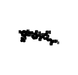 CC(C)(C)Oc1cc(F)cc2nc(Cn3cccc(NC(=O)[C@H](CC/C=C/C(N)=O)NC(=O)O)c3=O)[nH]c12